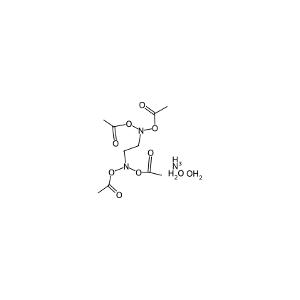 CC(=O)ON(CCN(OC(C)=O)OC(C)=O)OC(C)=O.N.O.O